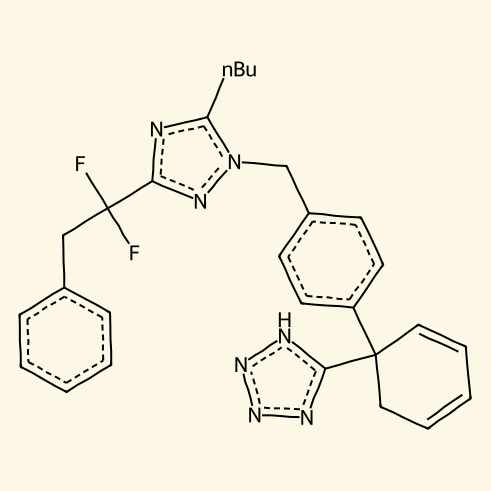 CCCCc1nc(C(F)(F)Cc2ccccc2)nn1Cc1ccc(C2(c3nnn[nH]3)C=CC=CC2)cc1